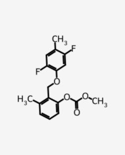 COC(=O)Oc1cccc(C)c1COc1cc(F)c(C)cc1F